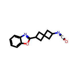 O=C=NC1CC2(C1)CC(c1nc3ccccc3o1)C2